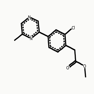 COC(=O)Cc1ccc(-c2cncc(C)n2)cc1Cl